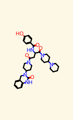 O=C(NC(CC(=O)N1CCC(N2Cc3ccccc3NC2=O)CC1)C(=O)N1CCC(N2CCCCC2)CC1)c1ccc(O)cc1